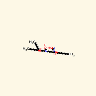 CCCCCCCCCCOC(=O)C(CCCCCN(CCO)CCCC(=O)OC(CCCCCCCC)CCCCCCCC)NCCO